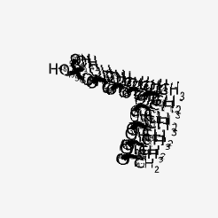 C=C(C)C(=O)O.C=C(C)C(=O)O.C=C(C)C(=O)O.C=C(C)C(=O)O.C=C(C)C(=O)O.C=C(C)C(=O)O.C=C(C)C(=O)O.C=C(C)C(=O)O.OCC(CO)(CO)CO